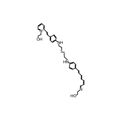 OCC/N=C/C=C\C=C\C=C\c1ccc(NCCSSCCNc2ccc(/C=C/c3cccc[n+]3CCO)cc2)cc1